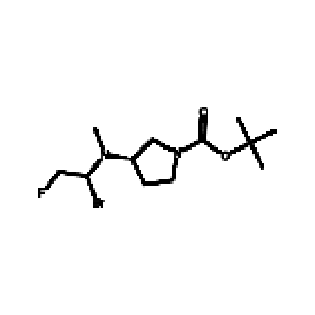 CN(C(Br)CF)[C@@H]1CCN(C(=O)OC(C)(C)C)C1